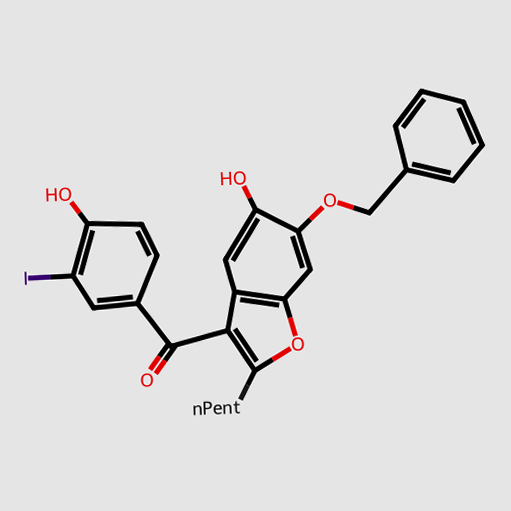 CCCCCc1oc2cc(OCc3ccccc3)c(O)cc2c1C(=O)c1ccc(O)c(I)c1